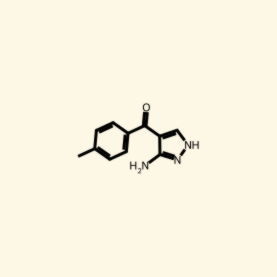 Cc1ccc(C(=O)c2c[nH]nc2N)cc1